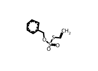 C=CSS(=O)(=O)OCc1ccccc1